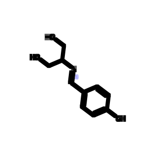 OCC(CO)/N=C/c1ccc(O)cc1